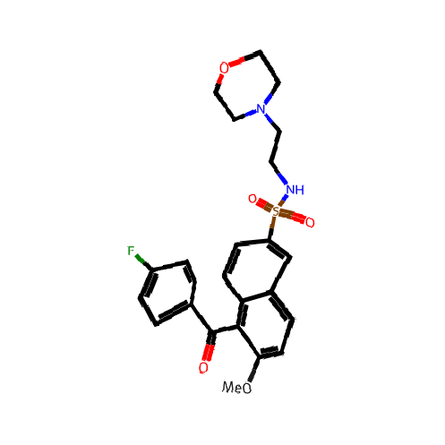 COc1ccc2cc(S(=O)(=O)NCCN3CCOCC3)ccc2c1C(=O)c1ccc(F)cc1